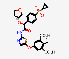 Cc1c(C(=O)O)cc(Oc2cnc(NC(=O)C(O[C@@H]3CCOC3)c3ccc(S(=O)(=O)C4CC4)cc3)s2)cc1C(=O)O